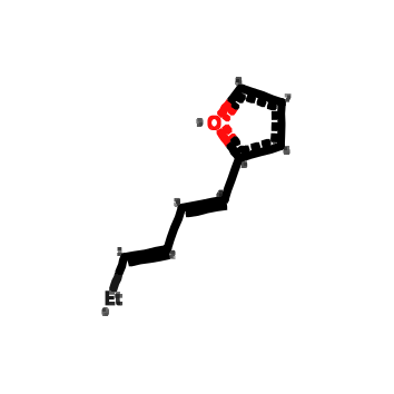 CC/C=C/C=C/c1ccco1